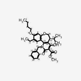 CCCCOc1cc2c(cc1CC)-c1c(c(O)c(C(=O)OC)c(=O)n1Cc1ccccc1)[C@H](C(C)C)CO2